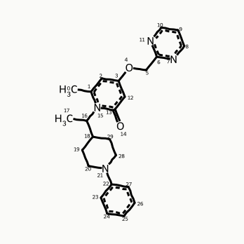 Cc1cc(OCc2ncccn2)cc(=O)n1C(C)C1CCN(c2ccccc2)CC1